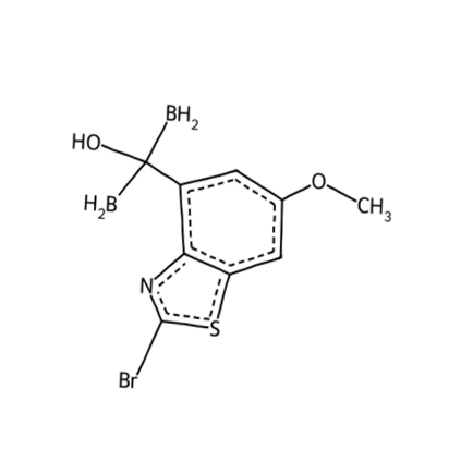 BC(B)(O)c1cc(OC)cc2sc(Br)nc12